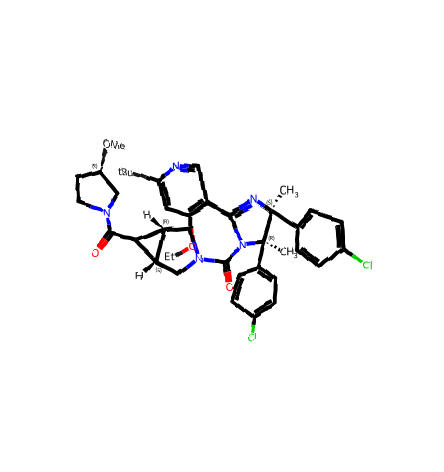 CCOc1cc(C(C)(C)C)ncc1C1=N[C@@](C)(c2ccc(Cl)cc2)[C@@](C)(c2ccc(Cl)cc2)N1C(=O)N1C[C@@H]2C(C(=O)N3CC[C@@H](OC)C3)[C@@H]2C1